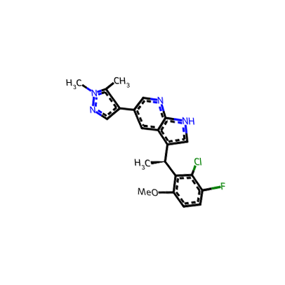 COc1ccc(F)c(Cl)c1[C@@H](C)c1c[nH]c2ncc(-c3cnn(C)c3C)cc12